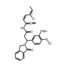 C=C=C(/C=C\C(Cl)=C/C)NC(=O)CC(c1ccc(OCC)c(OC)c1)N1Cc2ccccc2C1=O